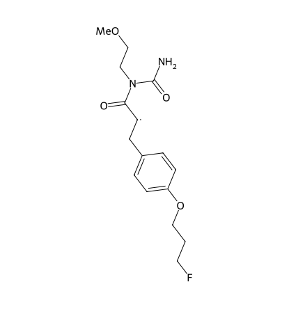 COCCN(C(N)=O)C(=O)[CH]Cc1ccc(OCCCF)cc1